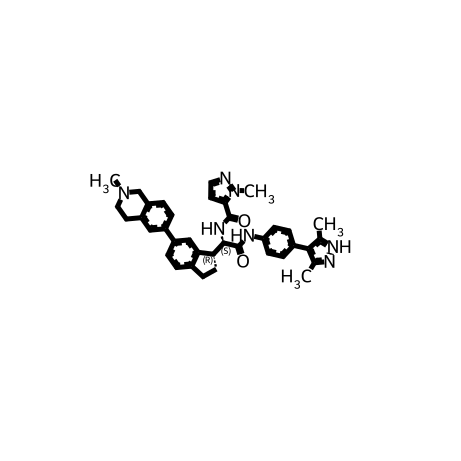 Cc1n[nH]c(C)c1-c1ccc(NC(=O)[C@@H](NC(=O)c2ccnn2C)[C@@H]2CCc3ccc(-c4ccc5c(c4)CCN(C)C5)cc32)cc1